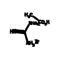 CC(=O)NC(=N)N.CC(=O)O.[Zr]